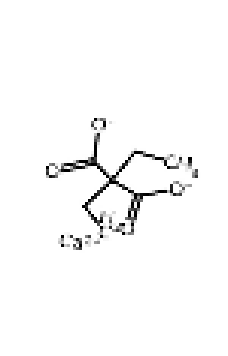 CCC(CC)(C(=O)[O-])C(=O)[O-].[Ca+2]